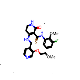 COCCOc1cnccc1CNC1=C(C(=S)Nc2cccc(F)c2OC)C(=O)NCC1